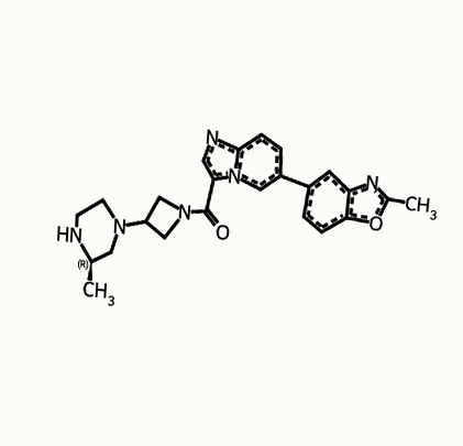 Cc1nc2cc(-c3ccc4ncc(C(=O)N5CC(N6CCN[C@H](C)C6)C5)n4c3)ccc2o1